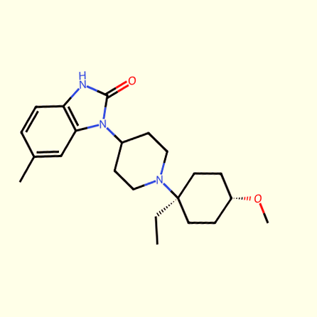 CC[C@]1(N2CCC(n3c(=O)[nH]c4ccc(C)cc43)CC2)CC[C@H](OC)CC1